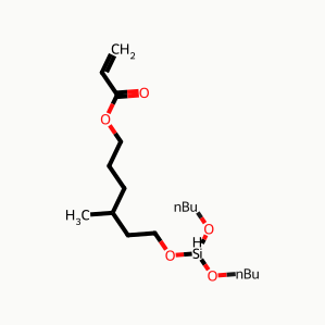 C=CC(=O)OCCCC(C)CCO[SiH](OCCCC)OCCCC